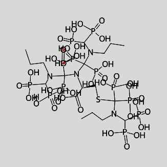 CCCN(C(P(=O)(O)O)P(=O)(O)O)C(SC[C@@H](C(=O)O)N(C(N(CCC)C(P(=O)(O)O)P(=O)(O)O)(P(=O)(O)O)P(=O)(O)O)C(N(CCC)C(P(=O)(O)O)P(=O)(O)O)(P(=O)(O)O)P(=O)(O)O)(P(=O)(O)O)P(=O)(O)O